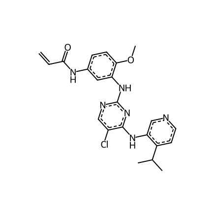 C=CC(=O)Nc1ccc(OC)c(Nc2ncc(Cl)c(Nc3cnccc3C(C)C)n2)c1